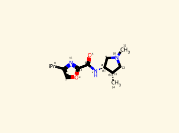 CC(C)c1coc(C(=O)N[C@@H]2CN(C)C[C@@H]2C)n1